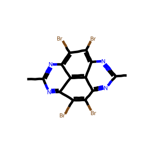 Cc1nc2c(Br)c(Br)c3nc(C)nc4c(Br)c(Br)c(n1)c2c34